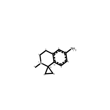 CN1CCc2cc(N)ccc2C12CC2